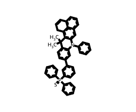 CC1(C)c2ccc(-c3cccc(P(=S)(c4ccccc4)c4ccccc4)c3)cc2N(c2ccccc2)c2cc3cccc4c3c(c21)CC=C4